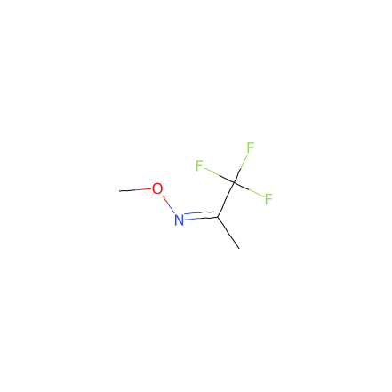 CON=C(C)C(F)(F)F